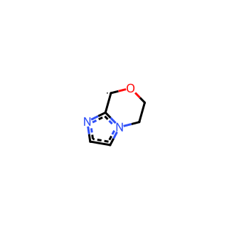 [CH]1OCCn2ccnc21